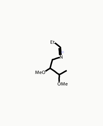 CC/C=N\CC(OC)C(C)OC